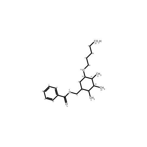 CC1C(COC(=O)c2ccccc2)CC(OCCCCC(=O)O)C(C)C1C